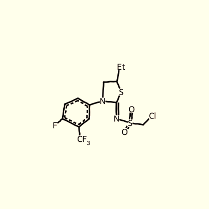 CCC1CN(c2ccc(F)c(C(F)(F)F)c2)C(=NS(=O)(=O)CCl)S1